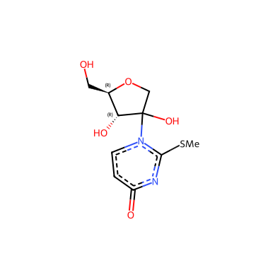 CSc1nc(=O)ccn1C1(O)CO[C@H](CO)[C@H]1O